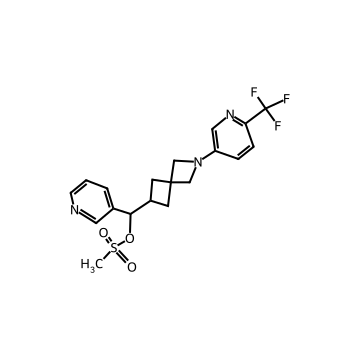 CS(=O)(=O)OC(c1cccnc1)C1CC2(C1)CN(c1ccc(C(F)(F)F)nc1)C2